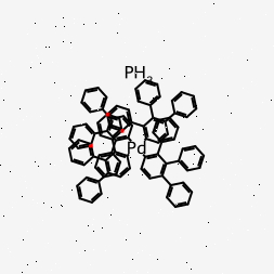 P.c1ccc(-c2cc[c]([Pd]([c]3ccc(-c4ccccc4)c(-c4ccccc4)c3-c3ccccc3)([c]3ccc(-c4ccccc4)c(-c4ccccc4)c3-c3ccccc3)[c]3ccc(-c4ccccc4)c(-c4ccccc4)c3-c3ccccc3)c(-c3ccccc3)c2-c2ccccc2)cc1